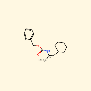 CCOC(=O)[C@H](CC1CCCCC1)NC(=O)OCc1ccccc1